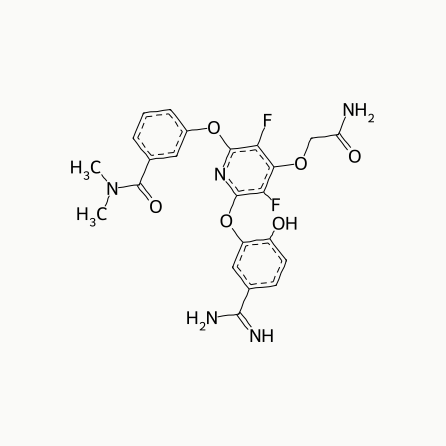 CN(C)C(=O)c1cccc(Oc2nc(Oc3cc(C(=N)N)ccc3O)c(F)c(OCC(N)=O)c2F)c1